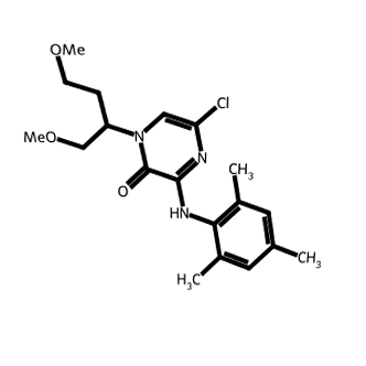 COCCC(COC)n1cc(Cl)nc(Nc2c(C)cc(C)cc2C)c1=O